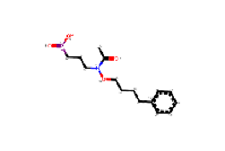 CC(=O)N(CCC[PH](=O)O)OCCCCc1ccccc1